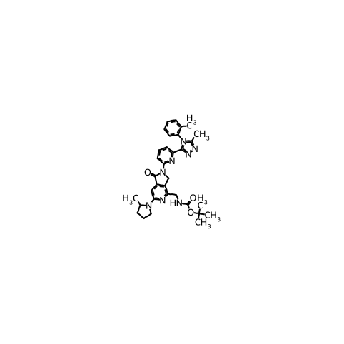 Cc1ccccc1-n1c(C)nnc1-c1cccc(N2Cc3c(cc(N4CCCC4C)nc3CNC(=O)OC(C)(C)C)C2=O)n1